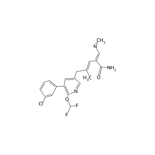 C=N/C=C(\C=C(/C)Cc1cnc(OC(F)F)c(-c2cccc(Cl)c2)c1)C(N)=O